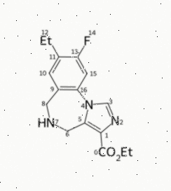 CCOC(=O)c1ncn2c1CNCc1cc(CC)c(F)cc1-2